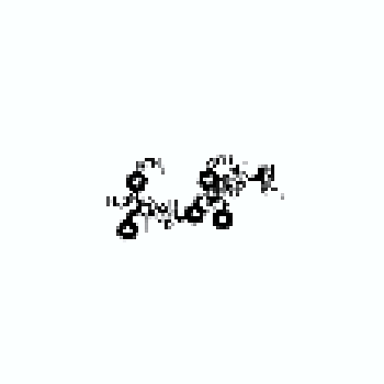 COc1ccc(N(C)C(=O)C(Cc2ccccc2)NC(=O)NS(=O)(=O)NCc2cccc(CN(C(=O)[C@H](Cc3ccccc3)NC(=O)NS(=O)(=O)NCc3cncn3C)c3ccc(OC)cc3)c2)cc1